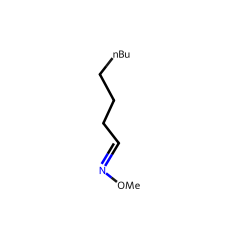 CCCCCCC/C=N/OC